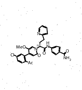 COc1cn([C@@H](CCc2ccccn2)C(=O)Nc2ccc(C(N)=O)cc2)c(=O)cc1-c1cc(Cl)ccc1C(C)=O